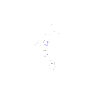 Cc1c(F)ccc(N2CCN(C(=O)Cn3nc(C(=O)N4CCC(O)C(CO)C4)c4c3C[C@H]3C=C43)C3(CC3)C2)c1C